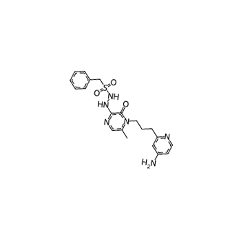 Cc1cnc(NNS(=O)(=O)Cc2ccccc2)c(=O)n1CCCc1cc(N)ccn1